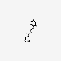 COCCNCCCc1ccccc1